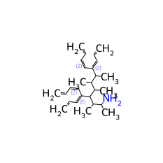 C=C/C=C\C(=C/C=C)C(C)C(C)C(C)C(C(/C=C\C=C)=C/C=C)C(C)C(C)N